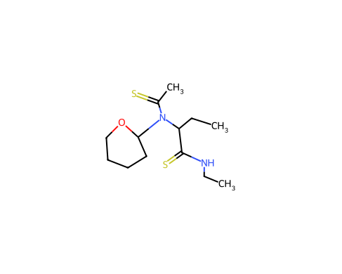 CCNC(=S)C(CC)N(C(C)=S)C1CCCCO1